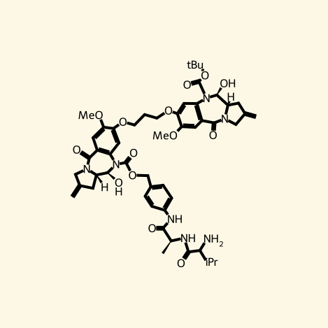 C=C1C[C@H]2[C@H](O)N(C(=O)OCc3ccc(NC(=O)[C@H](C)NC(=O)C(N)C(C)C)cc3)c3cc(OCCCOc4cc5c(cc4OC)C(=O)N4CC(=C)C[C@H]4[C@H](O)N5C(=O)OC(C)(C)C)c(OC)cc3C(=O)N2C1